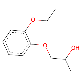 [CH2]C(O)COc1ccccc1OCC